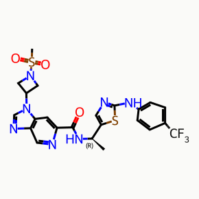 C[C@@H](NC(=O)c1cc2c(cn1)ncn2C1CN(S(C)(=O)=O)C1)c1cnc(Nc2ccc(C(F)(F)F)cc2)s1